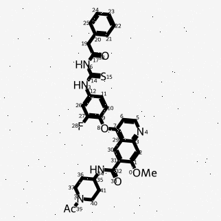 COc1cc2nccc(Oc3ccc(NC(=S)NC(=O)Cc4ccccc4)cc3F)c2cc1C(=O)NC1CCN(C(C)=O)CC1